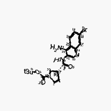 CC(C)(C)OC(=O)N1CC[C@@H](C(=O)Nc2cnc3cc(Br)ccc3c2N)C1